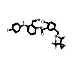 N=Cc1c(NC(=O)c2cc(CNC(=O)C3(C(F)(F)F)CC3)ccc2Cl)cccc1NC1C=CC(F)=CC1